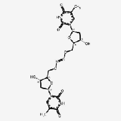 Cc1cn([C@H]2C[C@H](O)[C@@H](CON=NOC[C@H]3O[C@@H](n4cc(C)c(=O)[nH]c4=O)C[C@@H]3O)O2)c(=O)[nH]c1=O